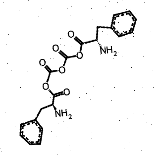 N[C@@H](Cc1ccccc1)C(=O)OC(=O)OC(=O)OC(=O)[C@@H](N)Cc1ccccc1